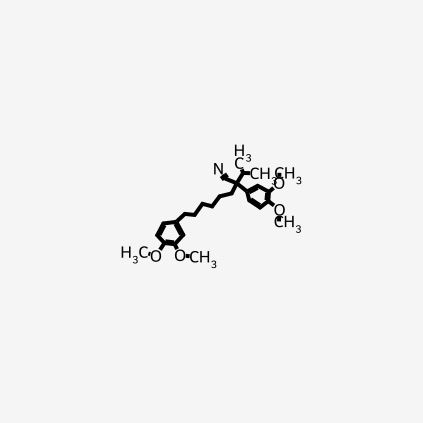 COc1ccc(CCCCCCC(C#N)(c2ccc(OC)c(OC)c2)C(C)C)cc1OC